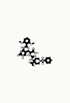 COc1cccc(OC)c1C(=O)Nc1nc(=O)[nH]cc1CC(NC(=O)NC1(C(C)=O)CCN(S(=O)(=O)c2ccccc2)CC1)C(=O)O